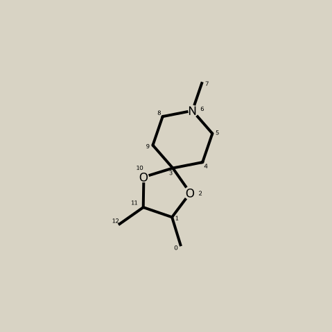 CC1OC2(CCN(C)CC2)OC1C